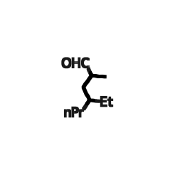 CCCC(CC)CC(C)C=O